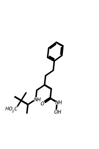 CC(NCC(CCc1ccccc1)CC(=O)NO)C(C)(C)C(=O)O